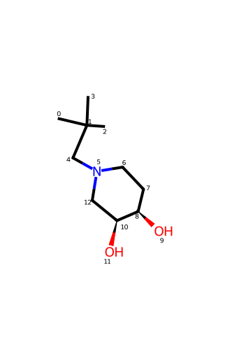 CC(C)(C)CN1CC[C@@H](O)[C@@H](O)C1